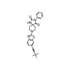 C[Si](C)(C)C#Cc1ccc2nc(N3CCC4(CC3)NC(=O)N(c3ccccc3)C4=O)sc2c1